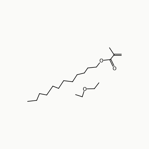 C=C(C)C(=O)OCCCCCCCCCCCC.CCOCC